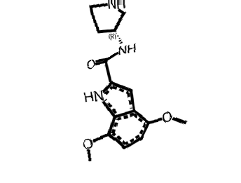 COc1ccc(OC)c2[nH]c(C(=O)N[C@@H]3CCNC3)cc12